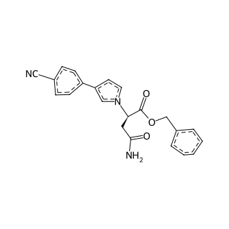 N#Cc1ccc(-c2ccn([C@H](CC(N)=O)C(=O)OCc3ccccc3)c2)cc1